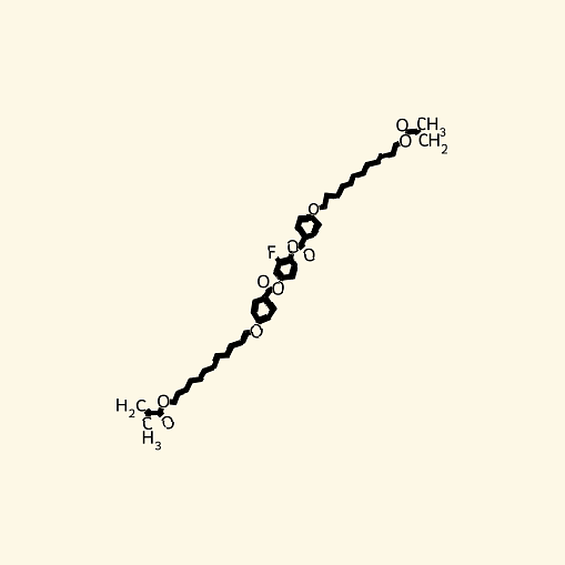 C=C(C)C(=O)OCCCCCCCCCCCCOc1ccc(C(=O)Oc2ccc(OC(=O)c3ccc(OCCCCCCCCCCCCOC(=O)C(=C)C)cc3)c(F)c2)cc1